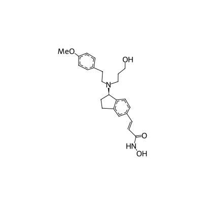 COc1ccc(CCN(CCCO)[C@@H]2CCc3cc(C=CC(=O)NO)ccc32)cc1